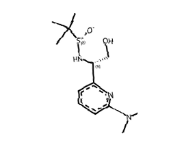 CN(C)c1cccc([C@@H](CO)N[S@@+]([O-])C(C)(C)C)n1